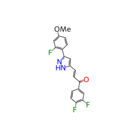 COc1ccc(-c2cc(C=CC(=O)c3ccc(F)c(F)c3)[nH]n2)c(F)c1